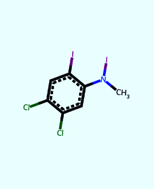 CN(I)c1cc(Cl)c(Cl)cc1I